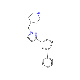 c1ccc(-c2cccc(-c3ccn(CC4CCNCC4)n3)c2)cc1